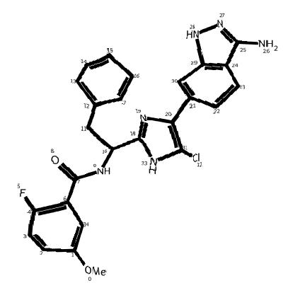 COc1ccc(F)c(C(=O)NC(Cc2ccccc2)c2nc(-c3ccc4c(N)n[nH]c4c3)c(Cl)[nH]2)c1